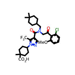 COc1cccc(Cl)c1C(=O)CN(CC1CCC(C)(C)CC1)C(=O)c1cnn(C2CCC(C)(C(=O)O)CC2)c1C(F)(F)F